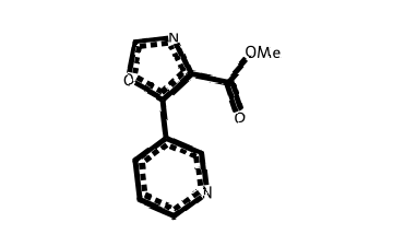 COC(=O)c1ncoc1-c1cccnc1